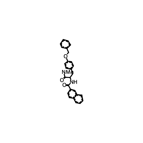 CNC(=O)C(Cc1ccc(OCc2ccccc2)cc1)NC(=O)c1ccc2ccccc2c1